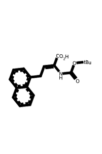 CC(C)(C)OC(=O)NC(=CCc1cccc2ccccc12)C(=O)O